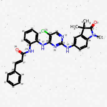 CCN1C(=O)C(C)(C)c2cc(Nc3ncc(Cl)c(Nc4ccccc4NC(=O)/C=C/c4ccccc4)n3)ccc21